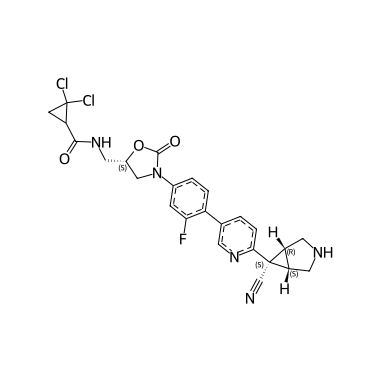 N#C[C@]1(c2ccc(-c3ccc(N4C[C@H](CNC(=O)C5CC5(Cl)Cl)OC4=O)cc3F)cn2)[C@@H]2CNC[C@@H]21